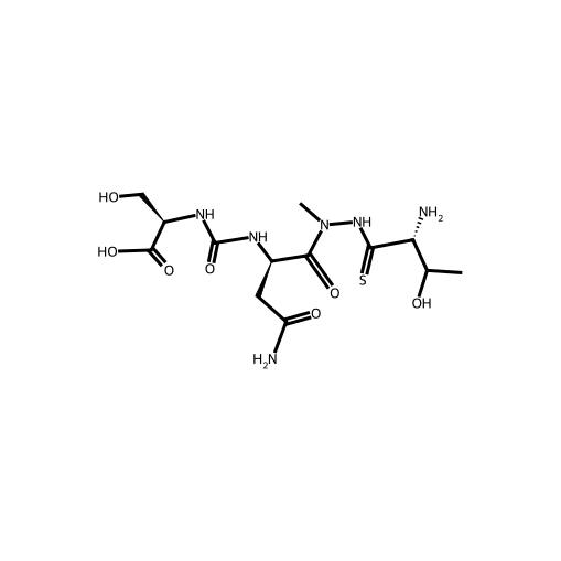 CC(O)[C@@H](N)C(=S)NN(C)C(=O)[C@@H](CC(N)=O)NC(=O)N[C@H](CO)C(=O)O